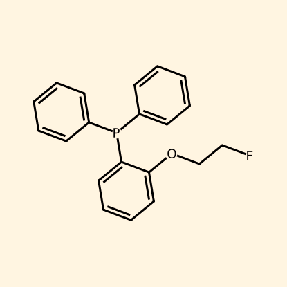 FCCOc1ccccc1P(c1ccccc1)c1ccccc1